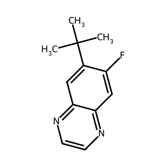 CC(C)(C)c1cc2nccnc2cc1F